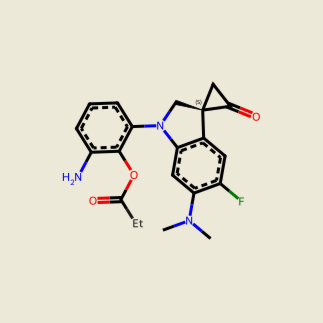 CCC(=O)Oc1c(N)cccc1N1C[C@]2(CC2=O)c2cc(F)c(N(C)C)cc21